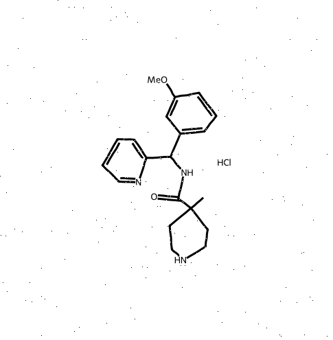 COc1cccc(C(NC(=O)C2(C)CCNCC2)c2ccccn2)c1.Cl